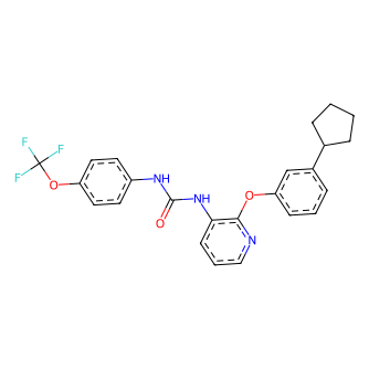 O=C(Nc1ccc(OC(F)(F)F)cc1)Nc1cccnc1Oc1cccc(C2CCCC2)c1